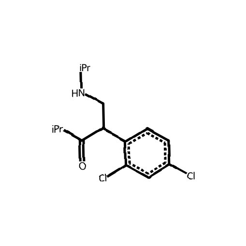 CC(C)NCC(C(=O)C(C)C)c1ccc(Cl)cc1Cl